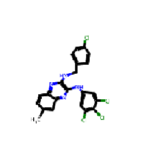 Cc1ccc2nc(NCc3ccc(Cl)cc3)c(Nc3cc(Cl)c(Cl)c(Cl)c3)nc2c1